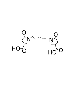 O=C(O)C1CC(=O)N(CCCCCN2CC(C(=O)O)CC2=O)C1